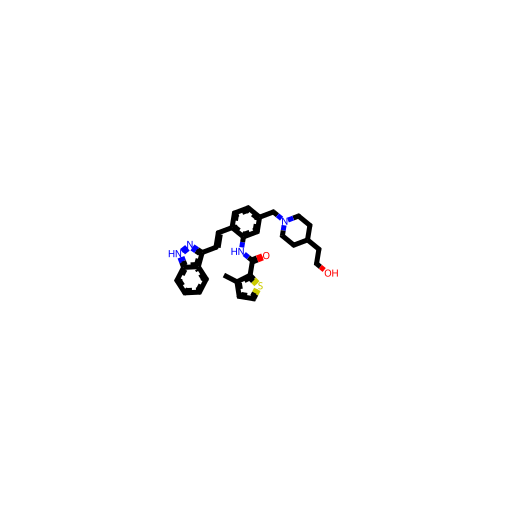 Cc1ccsc1C(=O)Nc1cc(CN2CCC(CCO)CC2)ccc1/C=C/c1n[nH]c2ccccc12